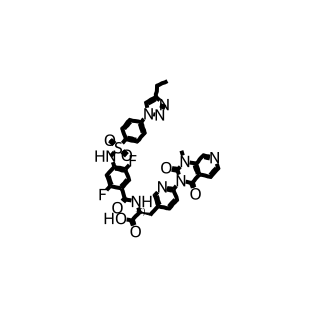 CCc1cn(-c2ccc(S(=O)(=O)Nc3cc(F)c(C(=O)N[C@@H](Cc4ccc(-n5c(=O)c6ccncc6n(C)c5=O)nc4)C(=O)O)cc3F)cc2)nn1